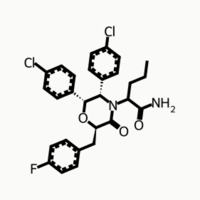 CCCC(C(N)=O)N1C(=O)[C@@H](Cc2ccc(F)cc2)O[C@H](c2ccc(Cl)cc2)[C@@H]1c1ccc(Cl)cc1